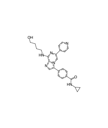 O=C(NC1CC1)c1ccc(-c2cnc3c(NCCCCO)nc(-c4ccncc4)cn23)cc1